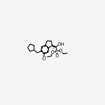 CCOP(=O)(OCC)/C(O)=C1/CCc2cc(CC3CCCC3)c(Cl)cc21